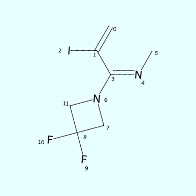 C=C(I)/C(=N\C)N1CC(F)(F)C1